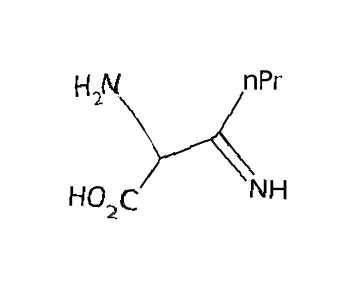 CCCC(=N)C(N)C(=O)O